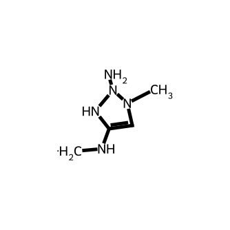 [CH2]NC1=CN(C)N(N)N1